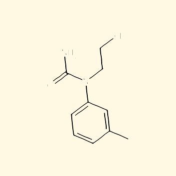 Cc1cccc(N(CCCl)C(N)=O)c1